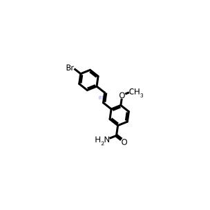 COc1ccc(C(N)=O)cc1/C=C/c1ccc(Br)cc1